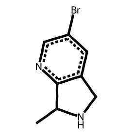 CC1NCc2cc(Br)cnc21